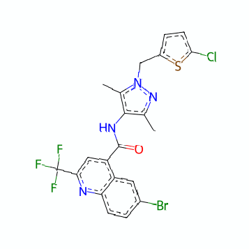 Cc1nn(Cc2ccc(Cl)s2)c(C)c1NC(=O)c1cc(C(F)(F)F)nc2ccc(Br)cc12